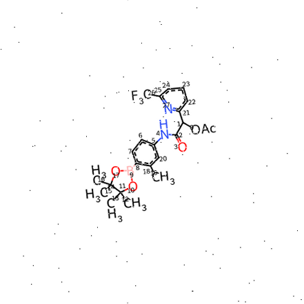 CC(=O)OC(C(=O)Nc1ccc(B2OC(C)(C)C(C)(C)O2)c(C)c1)c1cccc(C(F)(F)F)n1